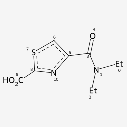 CCN(CC)C(=O)c1csc(C(=O)O)n1